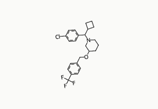 FC(F)(F)c1ccc(COC2CCCN(C(c3ccc(Cl)cc3)C3CCC3)C2)cc1